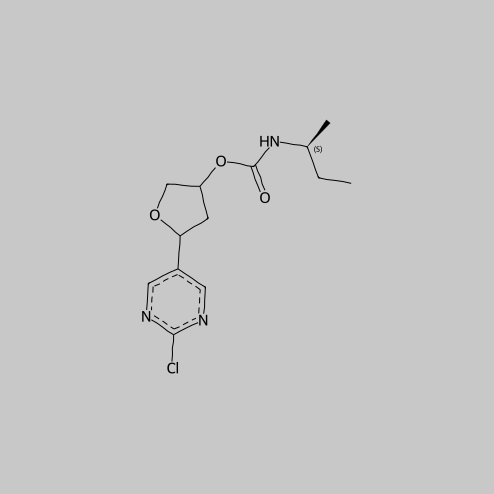 CC[C@H](C)NC(=O)OC1COC(c2cnc(Cl)nc2)C1